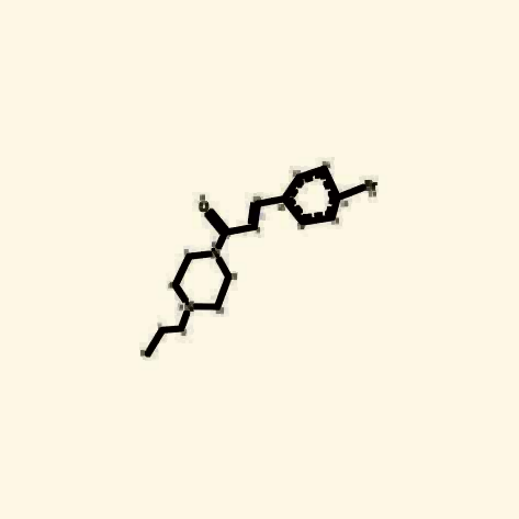 CCCN1CCN(C(=O)/C=C/c2ccc(Br)cc2)CC1